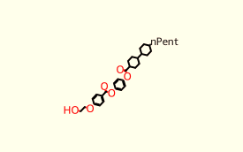 CCCCCC1CCC(C2CCC(C(=O)Oc3ccc(OC(=O)c4ccc(OCCO)cc4)cc3)CC2)CC1